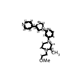 COCCN1CCN(c2ccnc(N3C=C(c4ccncc4)SC3)c2)C[C@H]1C